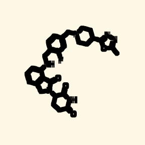 Cc1nnc(C2CCN(Cc3ccc(CNc4cccc5c4C(=O)N(C4CCC(=O)NC4=O)C5)c(F)c3)CC2)o1